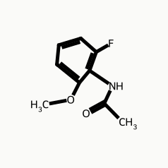 COc1cccc(F)c1NC(C)=O